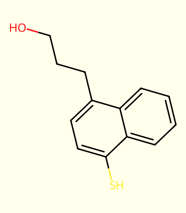 OCCCc1ccc(S)c2ccccc12